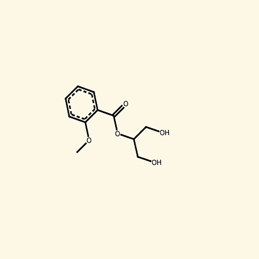 COc1ccccc1C(=O)OC(CO)CO